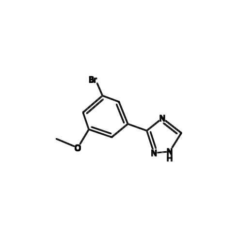 COc1cc(Br)cc(-c2nc[nH]n2)c1